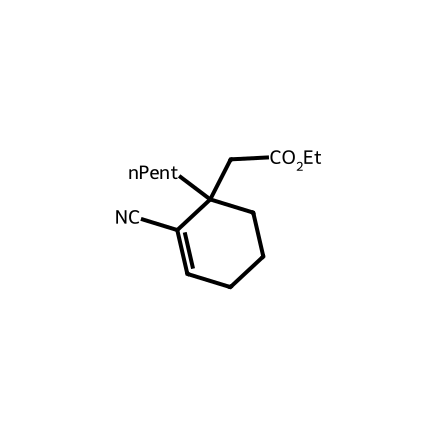 CCCCCC1(CC(=O)OCC)CCCC=C1C#N